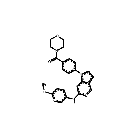 CC(C)Oc1ccc(Nc2ncc3ccn(-c4ccc(C(=O)N5CCOCC5)cc4)c3n2)cn1